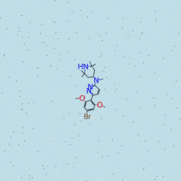 COc1cc(Br)cc(OC)c1-c1ccc(N(C)C2CC(C)(C)NC(C)(C)C2)nn1